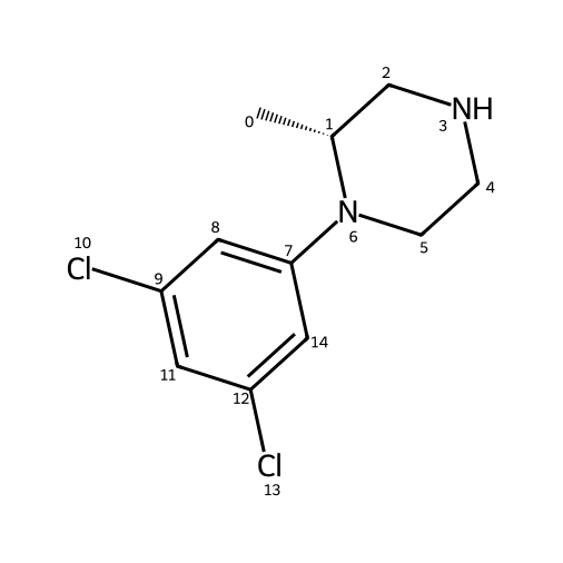 C[C@@H]1CNCCN1c1cc(Cl)cc(Cl)c1